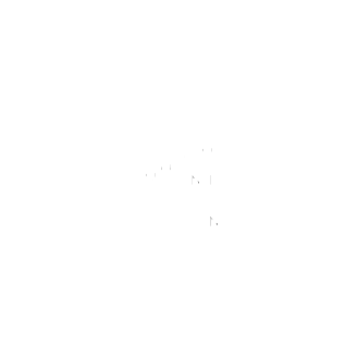 O=S(=O)(Nc1c(O)ccc2cccnc12)c1ccccc1